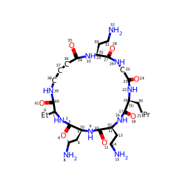 CCC1NC(=O)[C@H](CCN)NC(=O)[C@H](CCN)NC(=O)[C@H](CC(C)C)NC(=O)CNC(=O)[C@H](CCN)NC(=O)CCCNC1=O